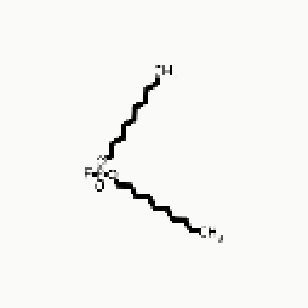 CCCCCCCCCCOP(=O)(F)OCCCCCCCCCC